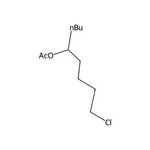 CCCCC(CCCCCl)OC(C)=O